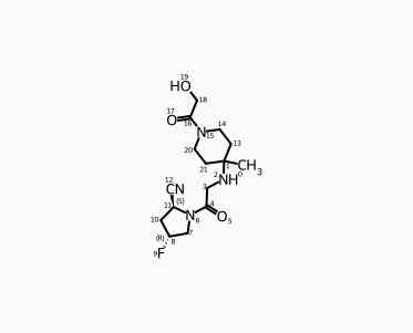 CC1(NCC(=O)N2C[C@H](F)C[C@H]2C#N)CCN(C(=O)CO)CC1